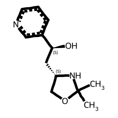 CC1(C)N[C@@H](C[C@H](O)c2cccnc2)CO1